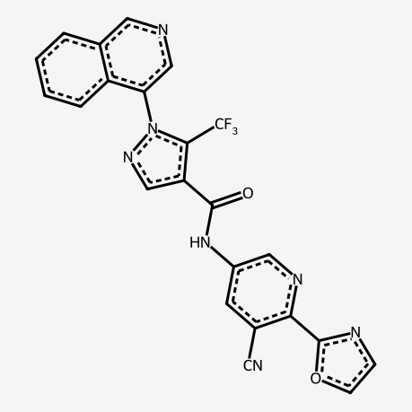 N#Cc1cc(NC(=O)c2cnn(-c3cncc4ccccc34)c2C(F)(F)F)cnc1-c1ncco1